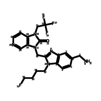 NCc1ccc2c(c1)nc(Cn1c(=O)n(CC(F)(F)F)c3ccncc31)n2CCCCF